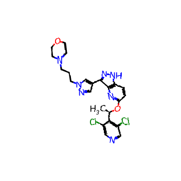 C[C@@H](Oc1ccc2[nH]nc(-c3cnn(CCCN4CCOCC4)c3)c2n1)c1c(Cl)cncc1Cl